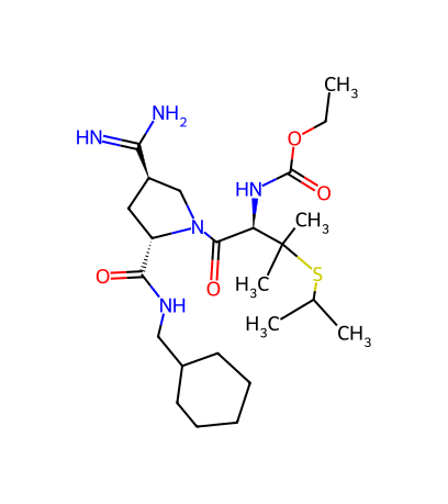 CCOC(=O)N[C@H](C(=O)N1C[C@H](C(=N)N)C[C@H]1C(=O)NCC1CCCCC1)C(C)(C)SC(C)C